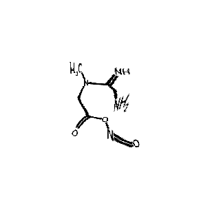 CN(CC(=O)ON=O)C(=N)N